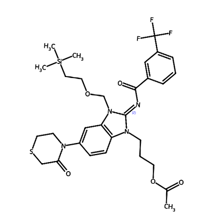 CC(=O)OCCCn1/c(=N/C(=O)c2cccc(C(F)(F)F)c2)n(COCC[Si](C)(C)C)c2cc(N3CCSCC3=O)ccc21